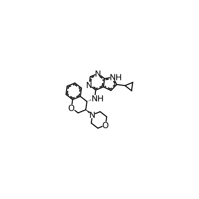 c1ccc2c(c1)OC[C@H](N1CCOCC1)[C@H]2Nc1ncnc2[nH]c(C3CC3)cc12